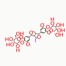 COc1cc(C2OC(I)C3C(c4cc(OC)c(O[C@@H]5O[C@H](CO)[C@@H](O)[C@H](O)[C@H]5O)c(OC)c4)OCC23)cc(OC)c1O[C@H]1O[C@@H](CO)[C@H](O)[C@@H](O)[C@@H]1O